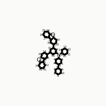 c1ccc(-c2ccc(N(c3ccccc3)c3cc(-c4ccc5oc6ccccc6c5c4)cc(-c4ccc5oc6ccccc6c5c4)c3)cc2)cc1